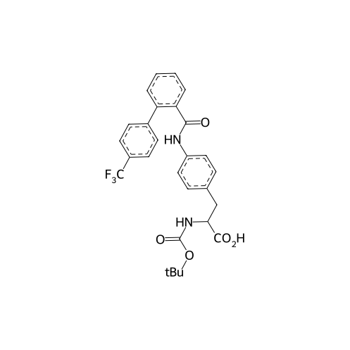 CC(C)(C)OC(=O)NC(Cc1ccc(NC(=O)c2ccccc2-c2ccc(C(F)(F)F)cc2)cc1)C(=O)O